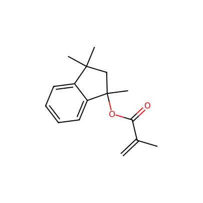 C=C(C)C(=O)OC1(C)CC(C)(C)c2ccccc21